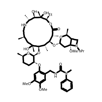 CCCN1CC2[C@H](C)O[C@@H](O[C@H]3[C@H](C)[C@@H](O[C@@H]4O[C@H](C)CC[C@H]4Oc4cc(OC)c(OC)cc4CNC(=O)N(C)c4ccccc4)[C@](C)(O)C[C@@H](C)CN[C@H](C)[C@@H](O)[C@](C)(O)[C@@H](CC)OC(=O)[C@@H]3C)C[C@@]21OC